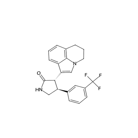 O=C1NC[C@H](c2cccc(C(F)(F)F)c2)[C@H]1c1cn2c3c(cccc13)CCC2